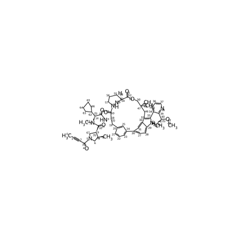 CC#CC(=O)N1C[C@H](C)[C@H](C(=O)N(C)[C@H](C(=O)N[C@H]2Cc3cccc(c3)-c3ccc4c(c3)c(c(-c3cccnc3[C@H](C)OC)n4C)CC(C)(C)COC(=O)[C@@H]3CCCN(N3)C2=O)C2CCCC2)C1